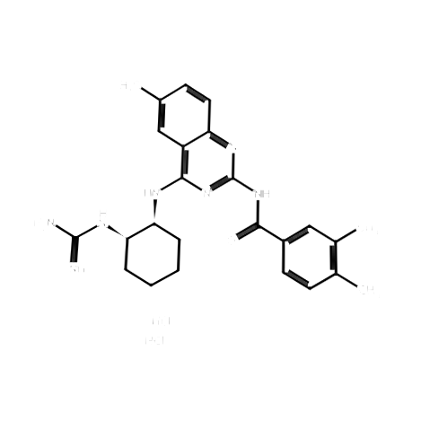 Cc1ccc2nc(NC(=O)c3ccc(C)c(C)c3)nc(N[C@H]3CCCC[C@H]3NC(=N)N)c2c1.Cl.Cl